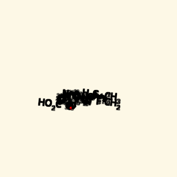 C=C/C(C)=C\C(F)=C(/C)COc1nccc(-c2ccc(Cc3nc4ccc(C(=O)O)cc4n3CC34CC(CO3)C4)cc2F)n1